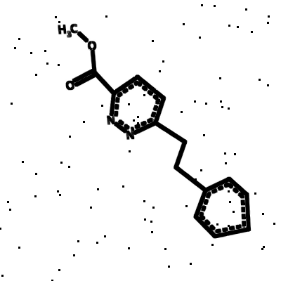 COC(=O)c1ccc(CCc2ccccc2)nn1